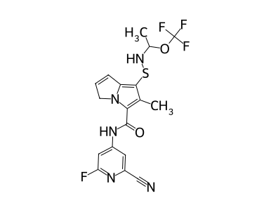 Cc1c(SNC(C)OC(F)(F)F)c2n(c1C(=O)Nc1cc(F)nc(C#N)c1)CC=C2